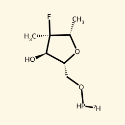 [2H]POC[C@H]1O[C@@H](C)[C@](C)(F)[C@@H]1O